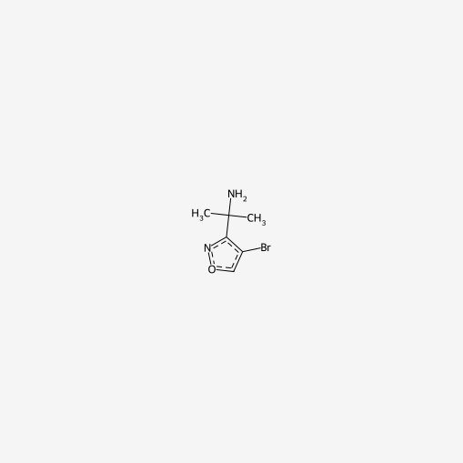 CC(C)(N)c1nocc1Br